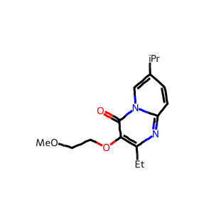 CCc1nc2ccc(C(C)C)cn2c(=O)c1OCCOC